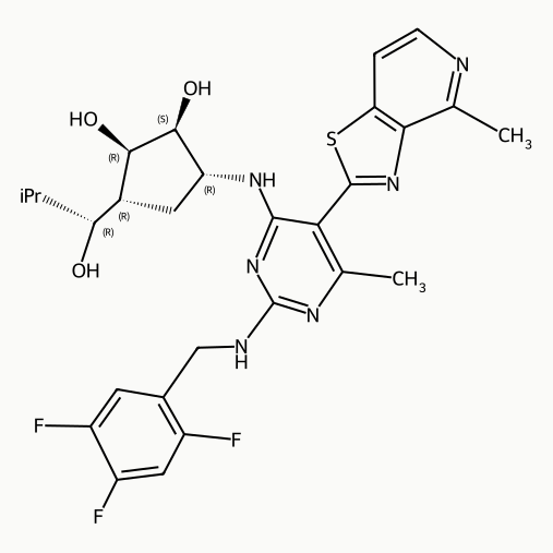 Cc1nc(NCc2cc(F)c(F)cc2F)nc(N[C@@H]2C[C@H]([C@H](O)C(C)C)[C@@H](O)[C@H]2O)c1-c1nc2c(C)nccc2s1